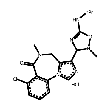 CCCNC1=NC(c2ncn3c2CN(C)C(=O)c2c(Cl)cccc2-3)N(C)O1.Cl